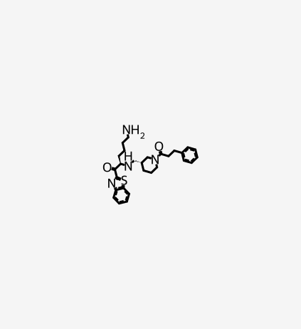 NCCCC[C@@H](NC[C@H]1CCCN(C(=O)CCc2ccccc2)C1)C(=O)c1nc2ccccc2s1